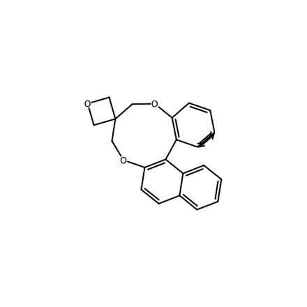 c1ccc2c3c(ccc2c1)OCC1(COC1)COc1ccc2ccccc2c1-3